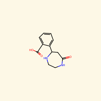 O=C1CC(c2ccccc2C(=O)O)NCCN1